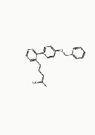 CC(O)CCCc1ccccc1-c1ccc(OCc2ccccc2)cc1